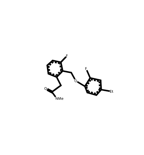 CCc1ccc(OCc2c(F)cccc2CC(=O)NC)c(F)c1